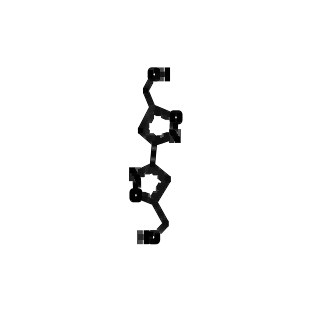 OCc1cc(-c2cc(CO)on2)no1